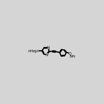 CCCCCCCc1cnc(C#Cc2ccc(OCCC)cc2)nc1